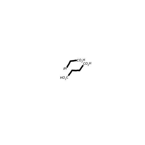 CC(C)CC(=O)O.O=C(O)CCC(=O)O